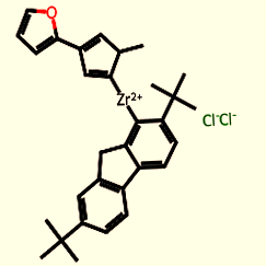 CC1C=C(c2ccco2)C=[C]1[Zr+2][c]1c(C(C)(C)C)ccc2c1Cc1cc(C(C)(C)C)ccc1-2.[Cl-].[Cl-]